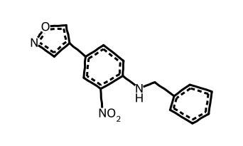 O=[N+]([O-])c1cc(-c2cnoc2)ccc1NCc1ccccc1